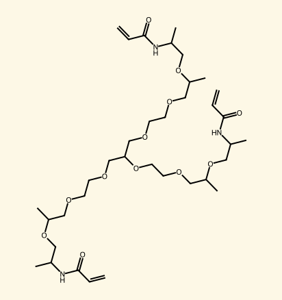 C=CC(=O)NC(C)COC(C)COCCOCC(COCCOCC(C)OCC(C)NC(=O)C=C)OCCOCC(C)OCC(C)NC(=O)C=C